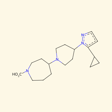 O=C(O)N1CCCC(N2CCC(n3nccc3C3CC3)CC2)CC1